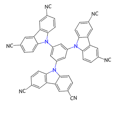 [C-]#[N+]c1ccc2c(c1)c1cc(C#N)ccc1n2-c1cc(-n2c3ccc(C#N)cc3c3cc(C#N)ccc32)cc(-n2c3ccc([N+]#[C-])cc3c3cc([N+]#[C-])ccc32)c1